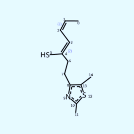 C/C=C\C=C(/S)CCc1nc(C)sc1C